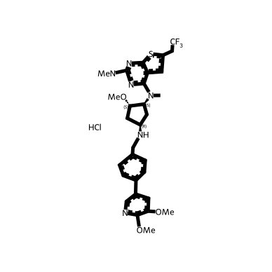 CNc1nc(N(C)[C@H]2C[C@@H](NCc3ccc(-c4cnc(OC)c(OC)c4)cc3)C[C@@H]2OC)c2cc(CC(F)(F)F)sc2n1.Cl